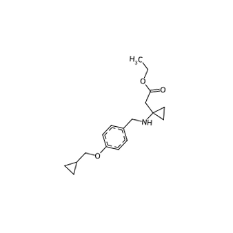 CCOC(=O)CC1(NCc2ccc(OCC3CC3)cc2)CC1